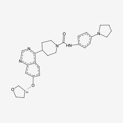 O=C(Nc1ccc(N2CCCC2)cc1)N1CCC(c2ncnc3cc(O[C@@H]4CCOC4)ccc23)CC1